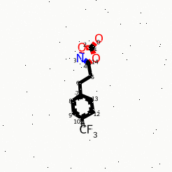 O=c1onc(CCc2ccc(C(F)(F)F)cc2)o1